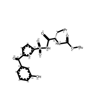 CC(C)C[C@H](NC(=O)OC(C)(C)C)C(=O)NS(=O)(=O)c1ccc(C(=O)c2cccc(O)c2)s1